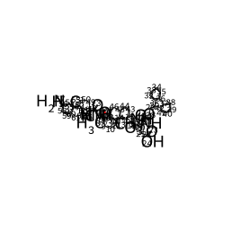 C[C@]1(C(=O)NC(=O)[C@@]2(C)CCC[C@]3(C)c4cc(NC(=O)[C@H](CC(=O)O)NC(=O)OCC5c6ccccc6-c6ccccc65)ccc4CC[C@@H]23)CCC[C@]2(C)c3cc(N)ccc3CC[C@@H]12